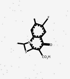 Cc1cc2c(cc1F)c(=O)c(C(=O)O)c1n2C(C)S1